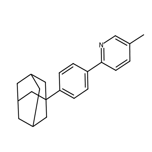 Cc1ccc(-c2ccc(C34CC5CC(CC(C5)C3)C4)cc2)nc1